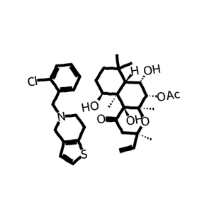 C=C[C@@]1(C)CC(=O)[C@]2(O)[C@@]3(C)[C@@H](O)CCC(C)(C)[C@@H]3[C@H](O)[C@H](OC(C)=O)[C@@]2(C)O1.Clc1ccccc1CN1CCc2sccc2C1